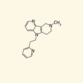 CN1CCc2c(c3ncccc3n2CCc2ccccn2)C1